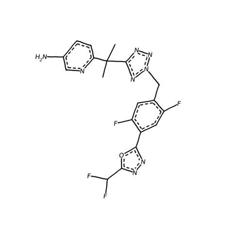 CC(C)(c1ccc(N)cn1)c1nnn(Cc2cc(F)c(-c3nnc(C(F)F)o3)cc2F)n1